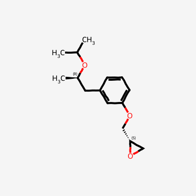 CC(C)O[C@H](C)Cc1cccc(OC[C@@H]2CO2)c1